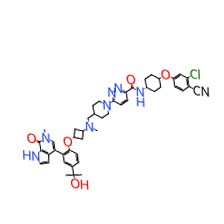 Cn1cc(-c2cc(C(C)(C)O)ccc2O[C@H]2C[C@H](N(C)CC3CCN(c4ccc(C(=O)N[C@H]5CC[C@H](Oc6ccc(C#N)c(Cl)c6)CC5)nn4)CC3)C2)c2cc[nH]c2c1=O